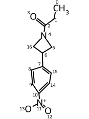 CCC(=O)N1CC(c2ccc([N+](=O)[O-])cc2)C1